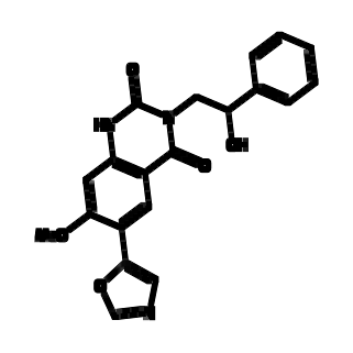 COc1cc2[nH]c(=O)n(CC(O)c3ccccc3)c(=O)c2cc1-c1cnco1